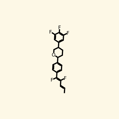 C/C=C/C(F)=C(\F)c1ccc(C2CCC(c3cc(F)c(F)c(F)c3)CO2)cc1